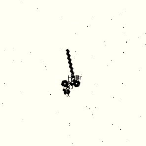 Br.CCCCCCCCCCCCCCOc1c(F)cccc1C(=O)Nc1ccccc1CN1CSC=C1C